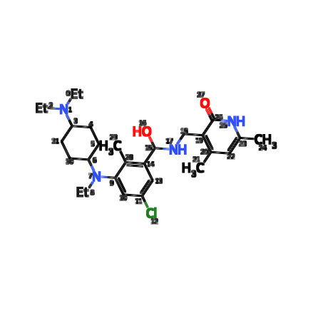 CCN(CC)C1CCC(N(CC)c2cc(Cl)cc(C(O)NCc3c(C)cc(C)[nH]c3=O)c2C)CC1